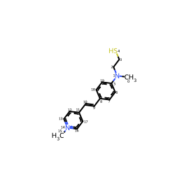 CN(CCS)c1ccc(/C=C/c2cc[n+](C)cc2)cc1